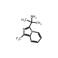 CC(C)(N)c1nc(C(F)(F)F)c2ccccn12